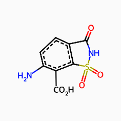 Nc1ccc2c(c1C(=O)O)S(=O)(=O)NC2=O